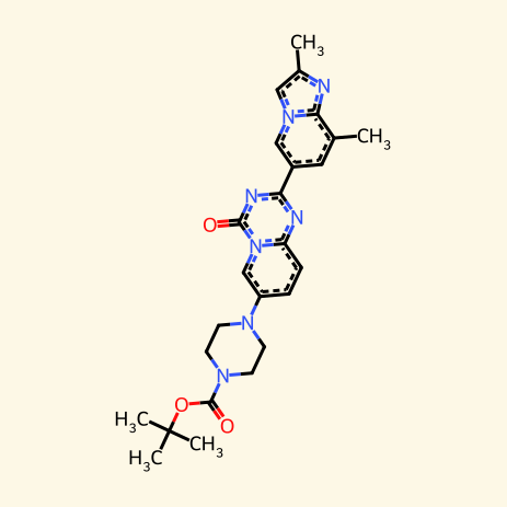 Cc1cn2cc(-c3nc(=O)n4cc(N5CCN(C(=O)OC(C)(C)C)CC5)ccc4n3)cc(C)c2n1